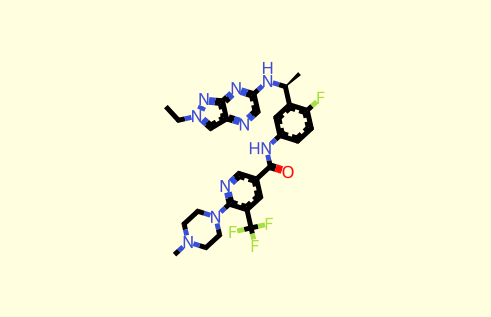 CCn1cc2ncc(N[C@@H](C)c3cc(NC(=O)c4cnc(N5CCN(C)CC5)c(C(F)(F)F)c4)ccc3F)nc2n1